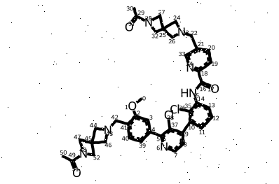 COc1cc(-c2nccc(-c3cccc(NC(=O)c4ccc(CN5CC6(C5)CN(C(C)=O)C6)cn4)c3Cl)c2Cl)ccc1CN1CC2(C1)CN(C(C)=O)C2